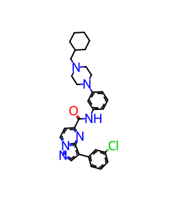 O=C(Nc1cccc(N2CCN(CC3CCCCC3)CC2)c1)c1ccn2ncc(-c3cccc(Cl)c3)c2n1